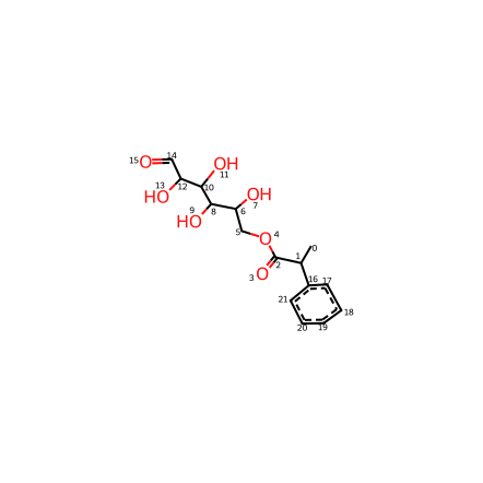 CC(C(=O)OCC(O)C(O)C(O)C(O)C=O)c1ccccc1